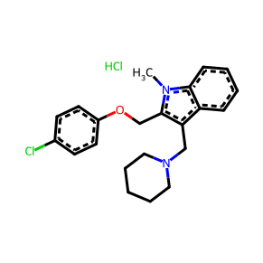 Cl.Cn1c(COc2ccc(Cl)cc2)c(CN2CCCCC2)c2ccccc21